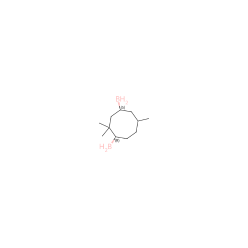 B[C@H]1CC(C)CC[C@@H](B)C(C)(C)C1